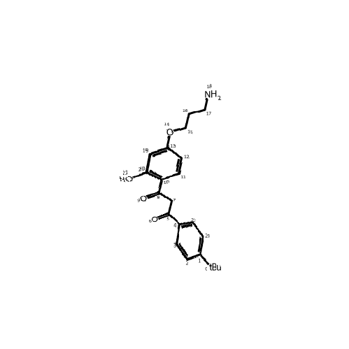 CC(C)(C)c1ccc(C(=O)CC(=O)c2ccc(OCCCN)cc2O)cc1